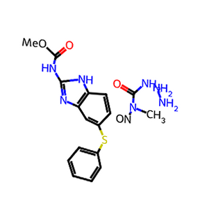 CN(N=O)C(N)=O.COC(=O)Nc1nc2cc(Sc3ccccc3)ccc2[nH]1.NN